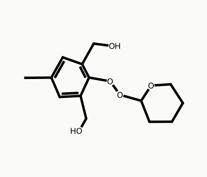 Cc1cc(CO)c(OOC2CCCCO2)c(CO)c1